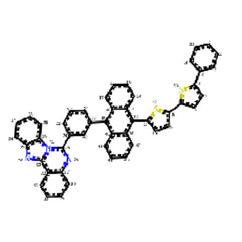 c1ccc(-c2ccc(-c3ccc(-c4c5ccccc5c(-c5cccc(-c6nc7ccccc7c7nc8ccccc8n67)c5)c5ccccc45)s3)s2)cc1